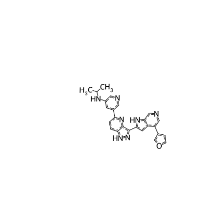 CC(C)Nc1cncc(-c2ccc3[nH]nc(-c4cc5c(-c6ccoc6)cncc5[nH]4)c3n2)c1